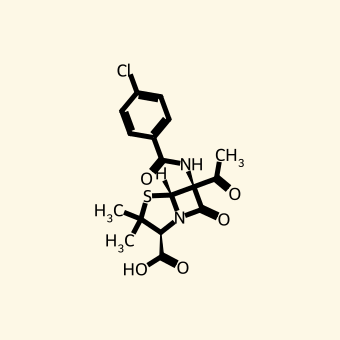 CC(=O)[C@]1(NC(=O)c2ccc(Cl)cc2)C(=O)N2[C@@H](C(=O)O)C(C)(C)S[C@@H]21